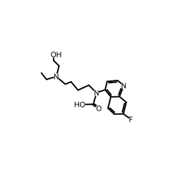 CCN(CCO)CCCCN(C(=O)O)c1ccnc2cc(F)ccc12